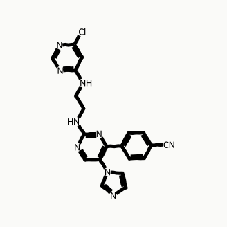 N#Cc1ccc(-c2nc(NCCNc3cc(Cl)ncn3)ncc2-n2ccnc2)cc1